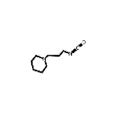 O=C=NCCCN1CCCCC1